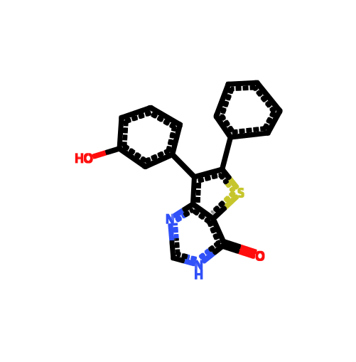 O=c1[nH]cnc2c(-c3cccc(O)c3)c(-c3ccccc3)sc12